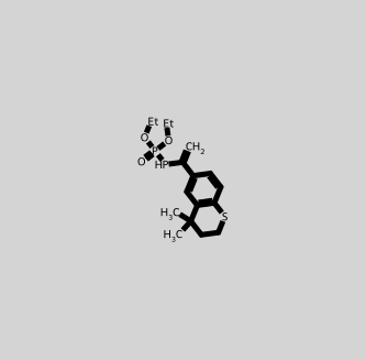 C=C(PP(=O)(OCC)OCC)c1ccc2c(c1)C(C)(C)CCS2